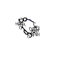 CC[C@]12CC/C=C/c3ccc4c(c3)[C@@H](NC(=O)c3ccc5c(c3)[C@@H](CCO5)N(C(=N)N1)C(=O)C2)[C@H](O)C(C)(C)O4